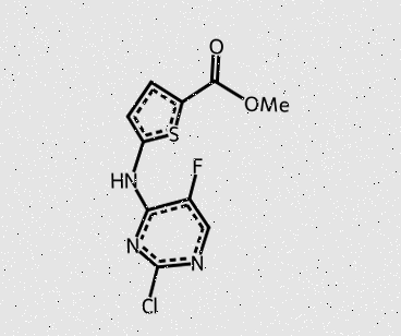 COC(=O)c1ccc(Nc2nc(Cl)ncc2F)s1